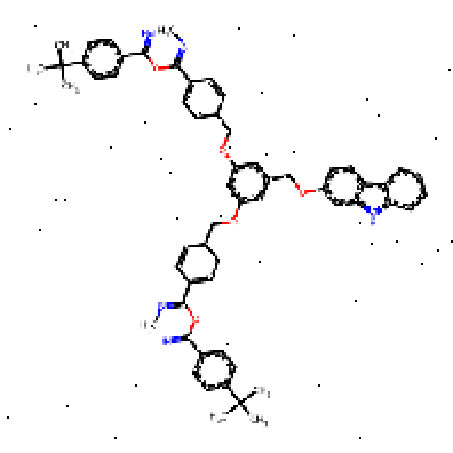 C/N=C(\OC(=N)c1ccc(C(C)(C)C)cc1)C1=CCC(COc2cc(COc3ccc4c(c3)[nH]c3ccccc34)cc(OCC3C=CC(/C(=N/C)OC(=N)c4ccc(C(C)(C)C)cc4)=CC3)c2)C=C1